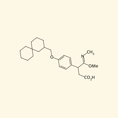 CN=C(OC)C(CC(=O)O)c1ccc(OCC2CCCC3(CCCCC3)C2)cc1